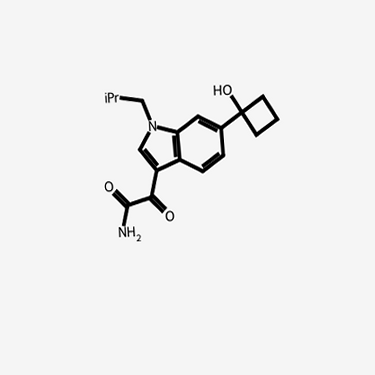 CC(C)Cn1cc(C(=O)C(N)=O)c2ccc(C3(O)CCC3)cc21